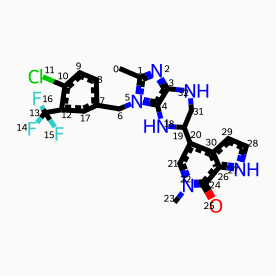 Cc1nc2c(n1Cc1ccc(Cl)c(C(F)(F)F)c1)NC(c1cn(C)c(=O)c3[nH]ccc13)CN2